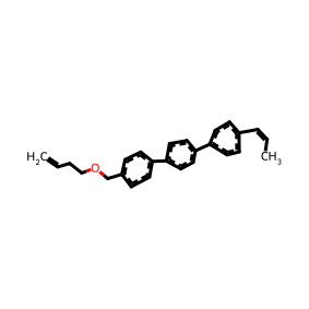 C=CCCOCc1ccc(-c2ccc(-c3ccc(/C=C\C)cc3)cc2)cc1